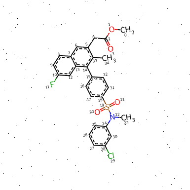 COC(=O)Cc1cc2ccc(F)cc2c(-c2ccc(S(=O)(=O)N(C)c3cccc(Cl)c3)cc2)c1C